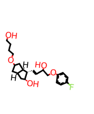 OCCCCOC1C[C@H]2C[C@H](O)[C@@H](C=CC(O)COc3ccc(F)cc3)[C@@H]2C1